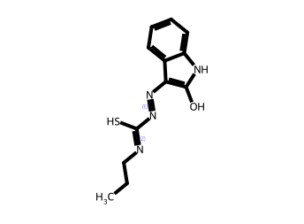 CCC/N=C(S)/N=N/c1c(O)[nH]c2ccccc12